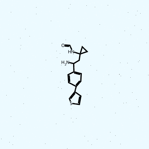 NC(CC1(NC=O)CC1)c1ccc(-c2ccsc2)cc1